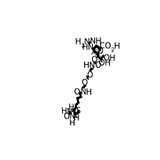 C[C@H]1[C@H]([C@H](OC(=O)NCCOCCOCCNC(=O)CCCCC2SC[C@@H]3NC(=O)N[C@H]23)[C@H](O)CO)OC(C(=O)O)=C[C@@H]1NC(=N)N